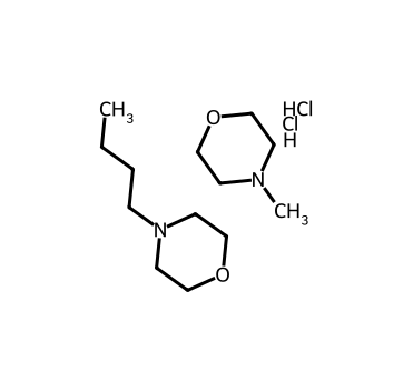 CCCCN1CCOCC1.CN1CCOCC1.Cl.Cl